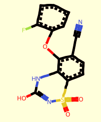 N#Cc1ccc2c(c1Oc1ccccc1F)NC(O)=NS2(=O)=O